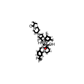 CC(C)C(=O)N1CCC(N2C[C@@H](c3ccc(F)cc3F)[C@](F)(C(=O)Nc3nccn3Cc3ccc(C(F)(F)F)cc3N3CCC[C@@H](C(=O)O)C3)C2)CC1